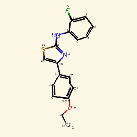 Fc1ccccc1Nc1nc(-c2ccc(OCC(F)(F)F)cc2)cs1